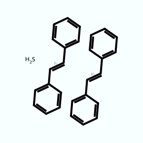 C(=C\c1ccccc1)/c1ccccc1.C(=C\c1ccccc1)/c1ccccc1.S